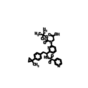 CC(C)(C)OC(=O)N(CC(=O)O)c1cccc(C(Cc2ccc(C3(C)CC3)cc2)NS(=O)(=O)c2cccnc2)n1